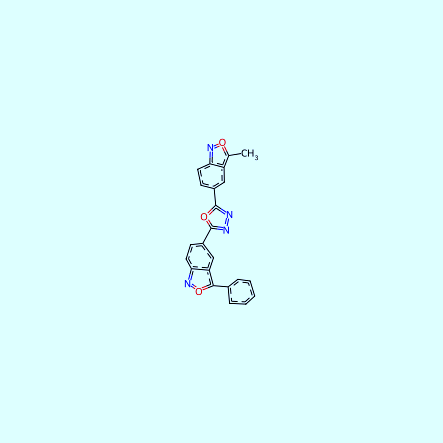 Cc1onc2ccc(-c3nnc(-c4ccc5noc(-c6ccccc6)c5c4)o3)cc12